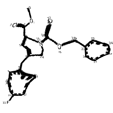 COC(=O)C1C=C(c2ccc(F)cc2)CN1C(=O)OCc1ccccc1